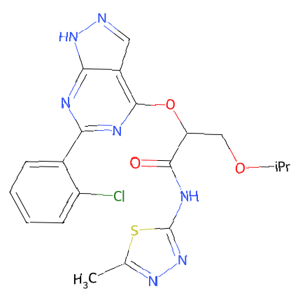 Cc1nnc(NC(=O)C(COC(C)C)Oc2nc(-c3ccccc3Cl)nc3[nH]ncc23)s1